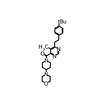 Cc1c(CCc2ccc(C(C)(C)C)cc2)ncnc1C(=O)N1CCC(N2CCOCC2)CC1